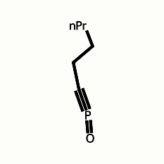 CCCCCC#P=O